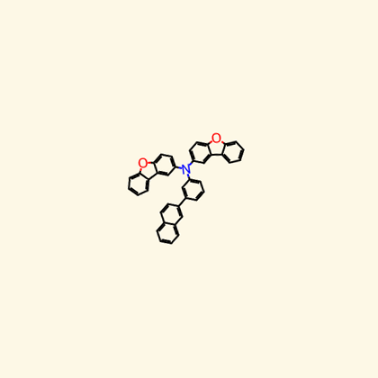 c1cc(-c2ccc3ccccc3c2)cc(N(c2ccc3oc4ccccc4c3c2)c2ccc3oc4ccccc4c3c2)c1